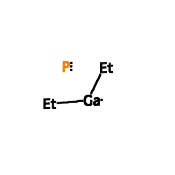 C[CH2][Ga][CH2]C.[P]